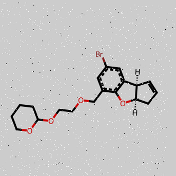 Brc1cc(COCCOC2CCCCO2)c2c(c1)[C@H]1C=CC[C@H]1O2